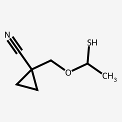 CC(S)OCC1(C#N)CC1